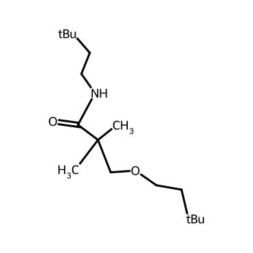 CC(C)(C)CCNC(=O)C(C)(C)COCCC(C)(C)C